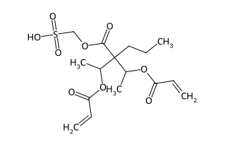 C=CC(=O)OC(C)C(CCC)(C(=O)OCS(=O)(=O)O)C(C)OC(=O)C=C